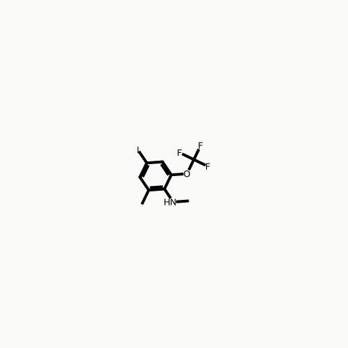 CNc1c(C)cc(I)cc1OC(F)(F)F